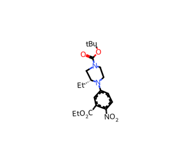 CCOC(=O)c1cc(N2CCN(C(=O)OC(C)(C)C)C[C@H]2CC)ccc1[N+](=O)[O-]